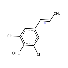 C/C=C/c1cc(Cl)c(C=O)c(Cl)c1